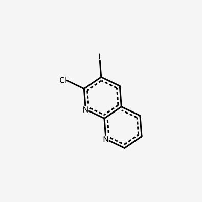 Clc1nc2ncccc2cc1I